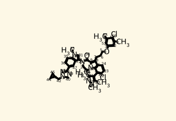 Cc1cc(OCCCc2c3n(c4c(-c5c(C)nn(C)c5C)c(Cl)ccc24)[C@H](C)CN(c2cn(C)c4ccc(-c5ncn(CC6CC6)n5)cc24)C3=O)cc(C)c1Cl